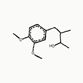 COc1ccc(CC(C)C(C)O)cc1OC